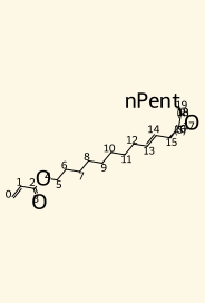 C=CC(=O)OCCCCCCCCC=CC[C@@H]1O[C@@H]1CCCCC